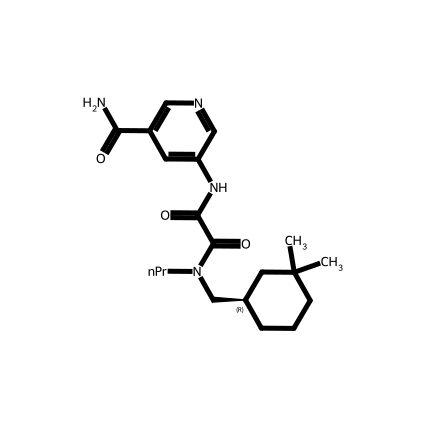 CCCN(C[C@@H]1CCCC(C)(C)C1)C(=O)C(=O)Nc1cncc(C(N)=O)c1